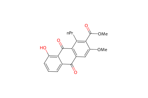 CCCc1c(C(=O)OC)c(OC)cc2c1C(=O)c1c(O)cccc1C2=O